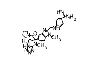 CN(c1nnn[nH]1)C(C)(C(=O)N1CCCC1)c1ccc2c(c1)nc(CNc1ccc(C(=N)N)cc1)n2C